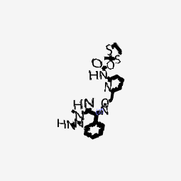 CN(N=N)C(=N)/C(=N\OCc1cccc(NC(=O)OC2(C)SCCS2)n1)c1ccccc1